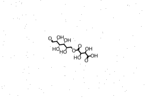 O=C[C@H](O)[C@@H](O)[C@H](O)[C@H](O)COC(=O)C(O)C(O)C(=O)O